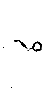 ICC#COc1ccccc1